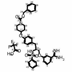 N=C(N)c1cccc(OC[C@H](Cc2ccc(OC3CCN(C(=O)OCc4ccccc4)CC3)cc2)NS(=O)(=O)c2ccccc2)c1.O=C(O)C(F)(F)F